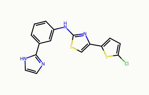 Clc1ccc(-c2csc(Nc3cccc(-c4ncc[nH]4)c3)n2)s1